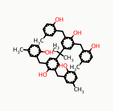 Cc1ccc(O)c(Cc2cc(C(C)(C)c3cc(Cc4cc(C)ccc4O)c(O)c(Cc4cc(C)ccc4O)c3)cc(Cc3cc(C)ccc3O)c2O)c1